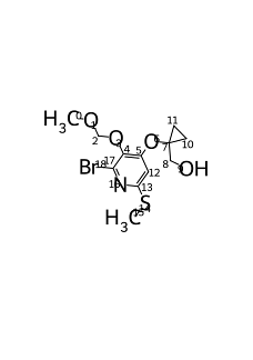 COCOc1c(OC2(CO)CC2)cc(SC)nc1Br